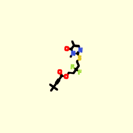 Cc1cnc(SCCC(F)(F)CCOC(=O)C#CC(C)(C)C)n(C)c1=O